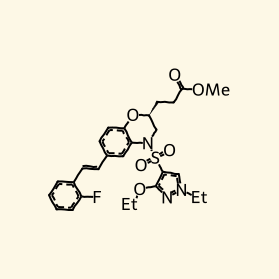 CCOc1nn(CC)cc1S(=O)(=O)N1C[C@H](CCC(=O)OC)Oc2ccc(/C=C/c3ccccc3F)cc21